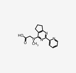 CN(CC(=O)O)c1nc(-c2ccccn2)nc2c1CCC2